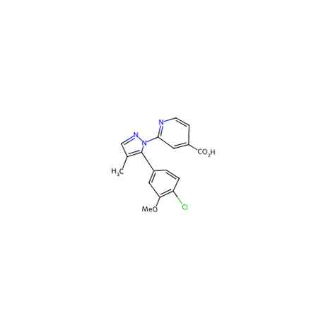 COc1cc(-c2c(C)cnn2-c2cc(C(=O)O)ccn2)ccc1Cl